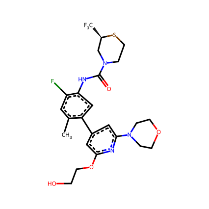 Cc1cc(F)c(NC(=O)N2CCS[C@H](C(F)(F)F)C2)cc1-c1cc(OCCO)nc(N2CCOCC2)c1